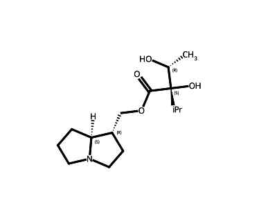 CC(C)[C@@](O)(C(=O)OC[C@@H]1CCN2CCC[C@@H]12)[C@@H](C)O